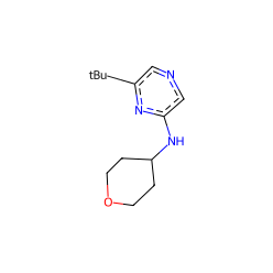 CC(C)(C)c1cncc(NC2CCOCC2)n1